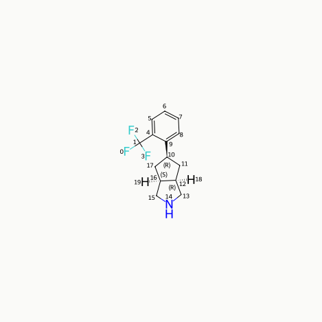 FC(F)(F)c1ccccc1[C@H]1C[C@H]2CNC[C@H]2C1